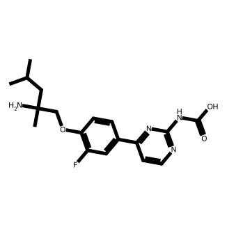 CC(C)CC(C)(N)COc1ccc(-c2ccnc(NC(=O)O)n2)cc1F